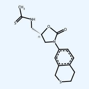 CC(=S)NC[C@H]1CN(c2ccc3c(c2)CSCC3)C(=O)O1